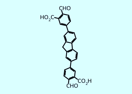 O=Cc1ccc(-c2ccc3c(c2)Cc2cc(-c4ccc(C=O)c(C(=O)O)c4)ccc2-3)cc1C(=O)O